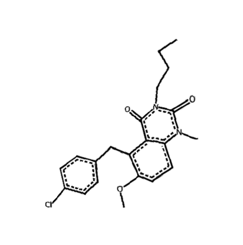 CCCCn1c(=O)c2c(Cc3ccc(Cl)cc3)c(OC)ccc2n(C)c1=O